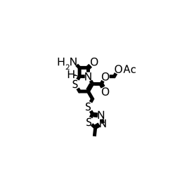 CC(=O)OCOC(=O)C1=C(CSc2nnc(C)s2)CS[C@H]2C(N)C(=O)N12